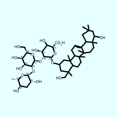 C[C@@H]1O[C@@H](O[C@H]2[C@H](O[C@H]3[C@H](OC4CC(C)(CO)C5CCC6(C)C(CC=C7C8CC(C)(C)CC(O)C8(C)CCC76C)C5(C)C4)O[C@H](C(=O)O)C(O)[C@@H]3O)O[C@H](CO)[C@H](O)[C@@H]2O)[C@H](O)C[C@H]1O